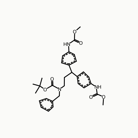 COC(=O)Nc1ccc(C(CCN(Cc2ccccc2)C(=O)OC(C)(C)C)c2ccc(NC(=O)OC)cc2)cc1